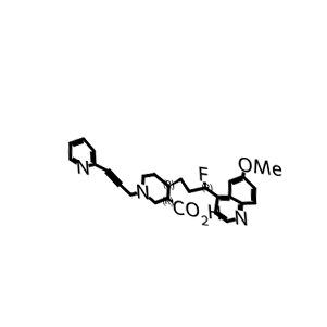 COc1ccc2nccc([C@H](F)CC[C@@H]3CCN(CC#Cc4ccccn4)C[C@@H]3C(=O)O)c2c1